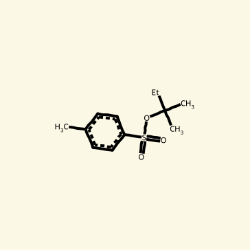 CCC(C)(C)OS(=O)(=O)c1ccc(C)cc1